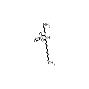 CCCCCCCCCCCC(=O)N[C@@H](CCCCN)C(=O)ONC=O